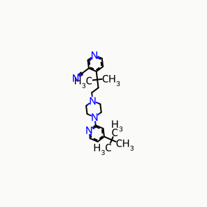 CC(C)(C)c1ccnc(N2CCN(CCC(C)(C)c3ccncc3C#N)CC2)c1